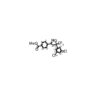 COC(=O)c1ccc(C2=NOC(c3cc(Cl)cc(Cl)c3)(C(F)(F)F)C2)cc1